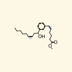 CCCCC/C=C\CC(O)c1cccc(/C=C\CCCC(=O)OC)c1